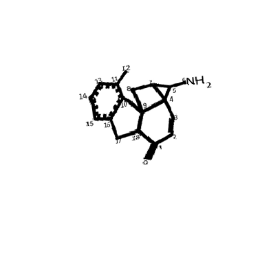 C=C1C=CC23C(N)C2CC32c3c(C)cccc3CC12